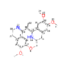 COc1cc2c(cc1OC)C(C(C)=C1NCCc3cc(OC)c(OC)cc31)=NCC2